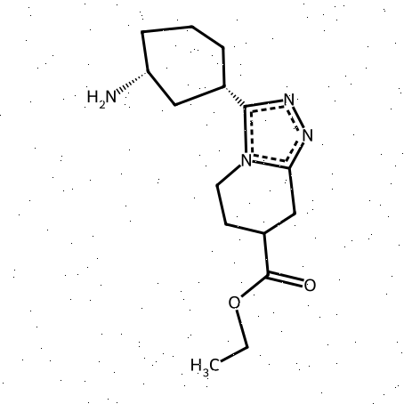 CCOC(=O)C1CCn2c(nnc2[C@H]2CCC[C@@H](N)C2)C1